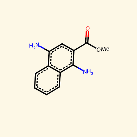 COC(=O)c1cc(N)c2ccccc2c1N